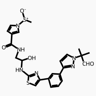 C[S+]([O-])n1ccc(C(=O)NCC(O)Nc2nc(-c3cccc(-c4ccn(C(C)(C)C=O)n4)c3)cs2)c1